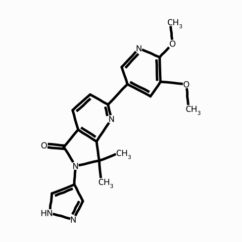 COc1cc(-c2ccc3c(n2)C(C)(C)N(c2cn[nH]c2)C3=O)cnc1OC